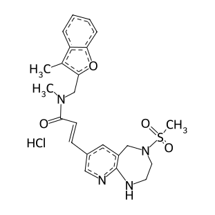 Cc1c(CN(C)C(=O)C=Cc2cnc3c(c2)CN(S(C)(=O)=O)CCN3)oc2ccccc12.Cl